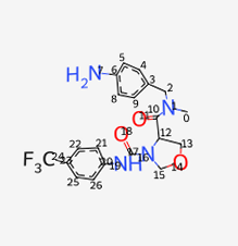 CN(Cc1ccc(N)cc1)C(=O)C1COCN1C(=O)Nc1ccc(C(F)(F)F)cc1